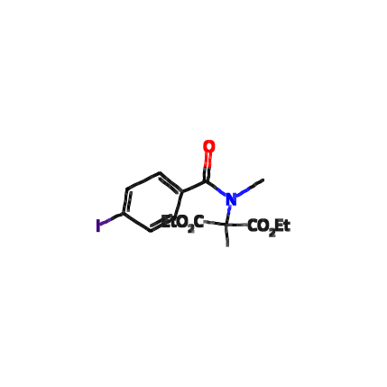 CCOC(=O)C(C)(C(=O)OCC)N(C)C(=O)c1ccc(I)cc1